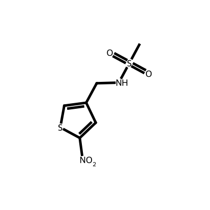 CS(=O)(=O)NCc1csc([N+](=O)[O-])c1